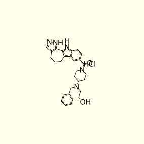 Cl.O=C(c1ccc2[nH]c3c(c2c1)CCCc1cn[nH]c1-3)N1CCC(N(CCO)Cc2ccccc2)CC1